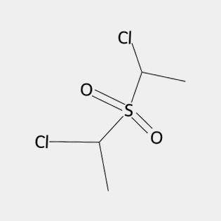 CC(Cl)S(=O)(=O)C(C)Cl